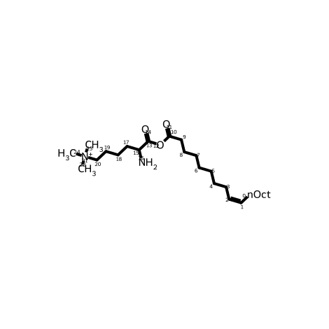 CCCCCCCC/C=C\CCCCCCCC(=O)OC(=O)C(N)CCCC[N+](C)(C)C